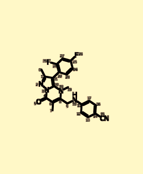 Cc1nn2c(=O)c(C)c(CNc3ccc(C#N)cc3)n(C)c2c1-c1ccc(F)cc1F